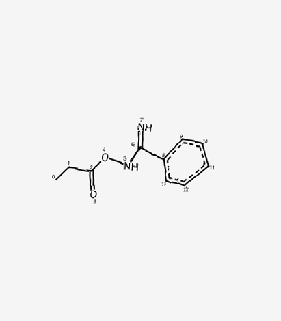 CCC(=O)ONC(=N)c1ccccc1